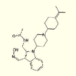 CC(=O)NCc1c(/C=N\O)c2ccccc2n1C1CCN(C2CCC(=C(C)C)CC2)CC1